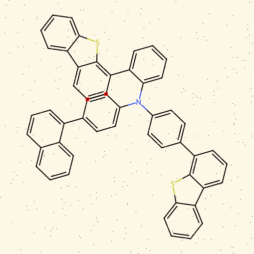 c1ccc(N(c2ccc(-c3cccc4ccccc34)cc2)c2ccc(-c3cccc4c3sc3ccccc34)cc2)c(-c2cccc3c2sc2ccccc23)c1